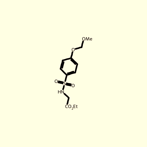 CCOC(=O)CNS(=O)(=O)c1ccc(OCOC)cc1